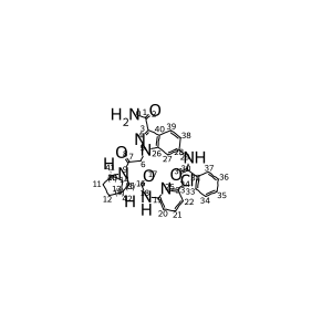 NC(=O)c1nn(CC(=O)N2[C@@H]3CC[C@@H](C3)[C@H]2C(=O)Nc2cccc(Cl)n2)c2cc(NC(=O)c3ccccc3)ccc12